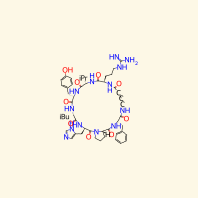 CC[C@H](C)[C@@H]1NC(=O)[C@H](Cc2ccc(O)cc2)NC(=O)[C@H](C(C)C)NC(=O)[C@@H](CCCNC(=N)N)NC(=O)CCCNC(=O)[C@H](Cc2ccccc2)NC(=O)[C@@H]2CCCN2C(=O)[C@@H](Cc2cnc[nH]2)NC1=O